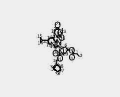 CCC(=O)O[C@H]1C[C@H](c2cn3cc(C4CC4)cc(N4CC(=O)N(C)C4=O)c3n2)N(C(=O)OCc2ccccc2)C1